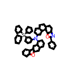 c1ccc(-c2nc3ccc4ccc5ccc(N(c6cccc([Si](c7ccccc7)(c7ccccc7)c7ccccc7)c6)c6cccc7cc8oc9ccccc9c8cc67)cc5c4c3o2)cc1